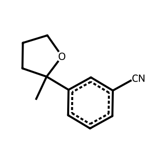 CC1(c2cccc(C#N)c2)CCCO1